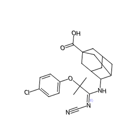 CC(C)(Oc1ccc(Cl)cc1)/C(=N\C#N)NC1C2CC3CC1CC(C(=O)O)(C3)C2